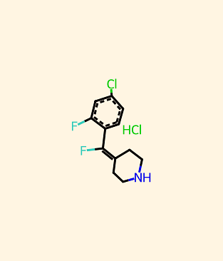 Cl.FC(=C1CCNCC1)c1ccc(Cl)cc1F